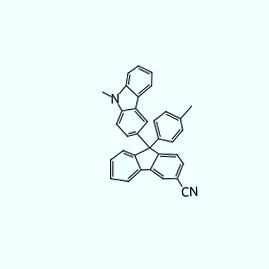 Cc1ccc(C2(c3ccc4c(c3)c3ccccc3n4C)c3ccccc3-c3cc(C#N)ccc32)cc1